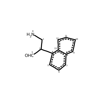 NCC(C=O)c1cccc2ccccc12